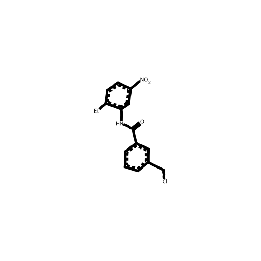 CCc1ccc([N+](=O)[O-])cc1NC(=O)c1cccc(CCl)c1